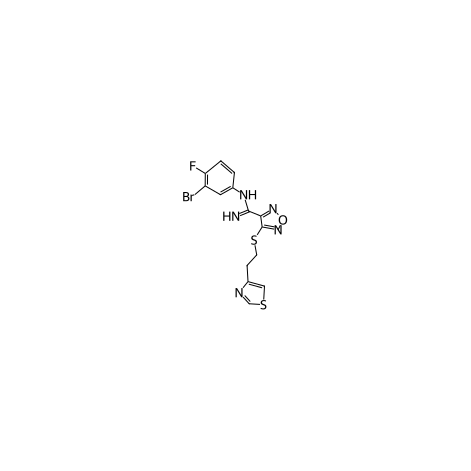 N=C(Nc1ccc(F)c(Br)c1)c1nonc1SCCc1cscn1